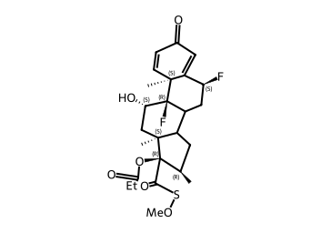 CCC(=O)O[C@]1(C(=O)SOC)[C@H](C)CC2C3C[C@H](F)C4=CC(=O)C=C[C@]4(C)[C@@]3(F)[C@@H](O)C[C@@]21C